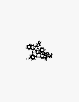 CC(C)(C)OC(=O)N1Cc2ccccc2C[C@H]1C(=O)N[C@H](Cc1ccc(Cl)cc1)C(=O)N1CCN2C(=O)N(CC(F)(F)F)C(=O)C2(Cc2ccccn2)C1